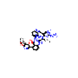 COc1ccc(-c2cccc3nc(C(C)Nc4nc(N)ncc4C#N)n(-c4ccccc4)c(=O)c23)cn1